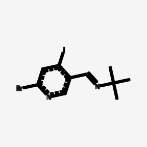 CC(C)(C)N=Cc1cnc(Br)cc1I